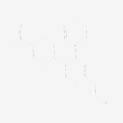 NCCc1ccc(N2CCN(C(=O)O)CC2)c(-c2ccccc2)c1